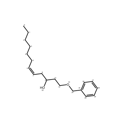 CCCCCC/C=C\CC(O)CCOCc1ccccc1